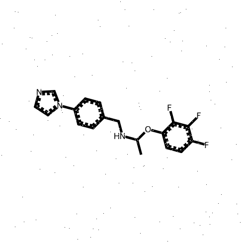 CC(NCc1ccc(-n2ccnc2)cc1)Oc1ccc(F)c(F)c1F